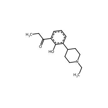 CCC(=O)c1cccc(C2CCN(CC)CC2)c1O